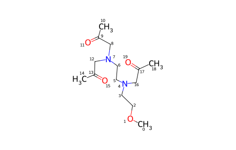 COCCN(CCN(CC(C)=O)CC(C)=O)CC(C)=O